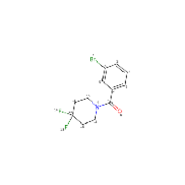 O=C(c1cccc(Br)c1)N1CCC(F)(F)CC1